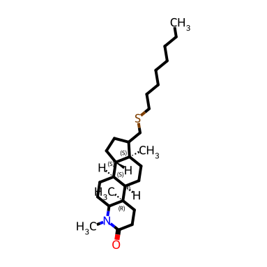 CCCCCCCCSCC1CC[C@H]2[C@@H]3CCC4N(C)C(=O)CC[C@]4(C)[C@@H]3CC[C@]12C